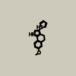 COc1ccc2c(c1)CCc1c([SH]3C=CC=C3)c[nH]c1-2